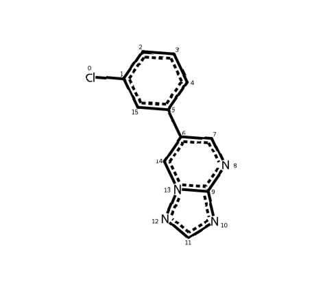 Clc1cccc(-c2cnc3ncnn3c2)c1